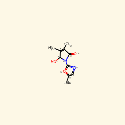 CC1=C(C)C(O)N(c2ncc(C(C)(C)C)o2)C1=O